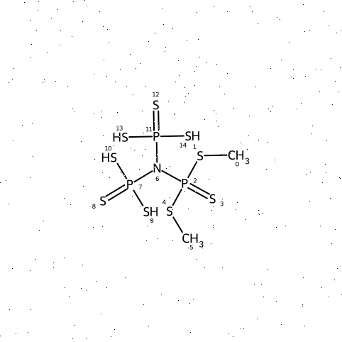 CSP(=S)(SC)N(P(=S)(S)S)P(=S)(S)S